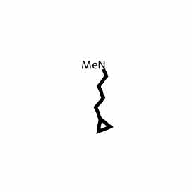 CNCCCCC1CC1